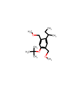 CCC(C)c1cc(COC)c(OC(C)(C)C)cc1COC